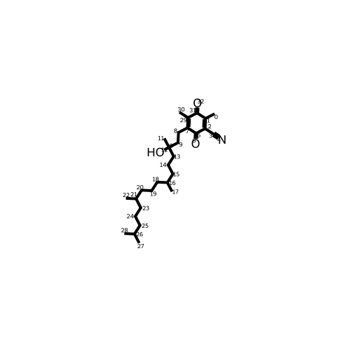 CC1=C(C#N)C(=O)C(CCC(C)(O)CCCC(C)CCCC(C)CCCC(C)C)=C(C)C1=O